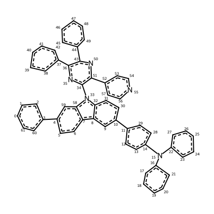 c1ccc(-c2ccc3c4cc(-c5ccc(N(c6ccccc6)c6ccccc6)cc5)ccc4n(-c4nc(-c5ccccc5)c(-c5ccccc5)nc4-c4ccncc4)c3c2)cc1